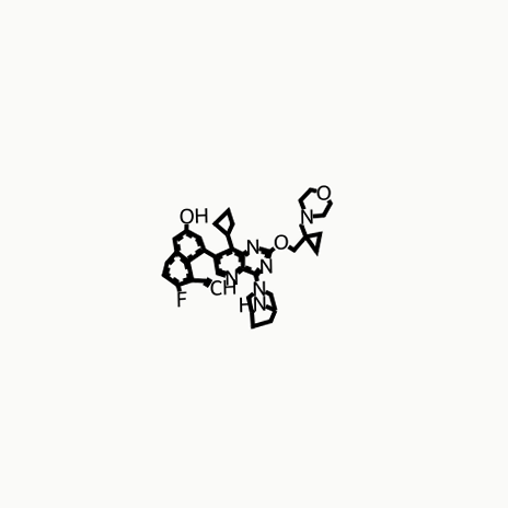 C#Cc1c(F)ccc2cc(O)cc(-c3cnc4c(N5CC6CCC(C5)N6)nc(OCC5(CN6CCOCC6)CC5)nc4c3C3CCC3)c12